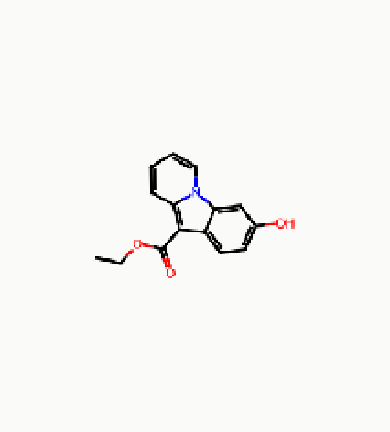 CCOC(=O)c1c2ccc(O)cc2n2ccccc12